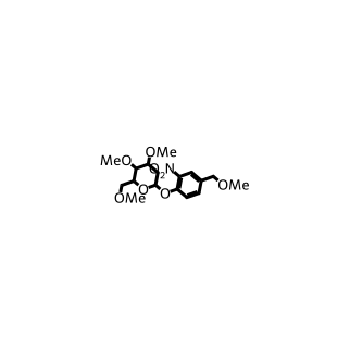 COCc1ccc(OC2CC(OC)C(OC)C(COC)O2)c([N+](=O)[O-])c1